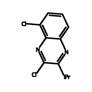 CC(C)c1nc2cccc(Cl)c2nc1Cl